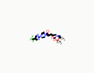 COC(C)CN1CC(CCC(=O)N2CCN(c3ncc(C(F)(F)F)cn3)CC2)OC1=O